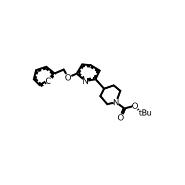 CC(C)(C)OC(=O)N1CCC(c2cccc(OCc3ccccc3)n2)CC1